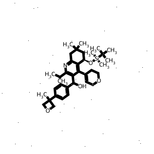 CC(C)c1nc2c(c(C3=CCOCC3)c1C(O)c1ccc(C3(C)COC3)cc1)[C@H](O[Si](C)(C)C(C)(C)C)CC(C)(C)C2